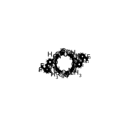 CC(C)C[C@H]1C(=O)O[C@H](Cc2ccc(Cc3cnccc3C(F)F)cc2)C(=O)N(C)[C@@H](CC(C)C)C(=O)O[C@H](C)C(=O)N(C)[C@@H](CC(C)C)C(=O)O[C@H](Cc2ccc(Cc3cnccc3C(F)F)cc2)C(=O)N(C)[C@@H](CC(C)C)C(=O)O[C@H](C)C(=O)N1C